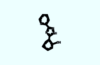 Oc1ccccc1-c1nc(-c2ccccn2)n[nH]1